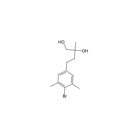 Cc1cc(CCC(C)(O)CO)cc(C)c1Br